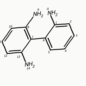 Nc1ccccc1-c1c(N)cccc1N